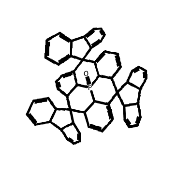 O=P12C3C4=CC=CC3C3(C5=CC=CC(C51)C1(C5C=CC=CC5C5C=CC=CC51)C1C=CC=C(C12)C41c2ccccc2-c2ccccc21)C1C=CC=CC1C1C=CC=CC13